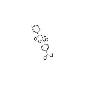 O=C(Cl)c1ccc(S(=O)(=O)NC(=O)c2ccccc2)cc1